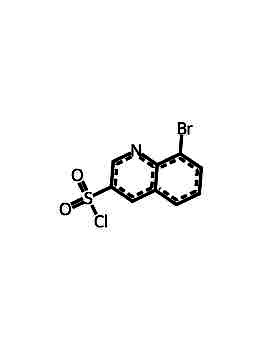 O=S(=O)(Cl)c1cnc2c(Br)cccc2c1